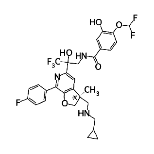 C[C@]1(CNCC2CC2)COc2c1cc(C(O)(CNC(=O)c1ccc(OC(F)F)c(O)c1)C(F)(F)F)nc2-c1ccc(F)cc1